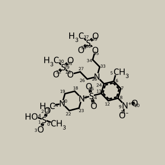 CS(=O)(=O)O.Cc1cc([N+](=O)[O-])cc(S(=O)(=O)N2CCN(C)CC2)c1N(CCOS(C)(=O)=O)CCOS(C)(=O)=O